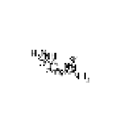 CSc1nc(N)cc(Sc2ccc(C(=O)NN)cc2)n1